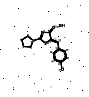 Br.O=C1N=C(N2CCCC2)S/C1=C\c1ccc(Cl)cc1